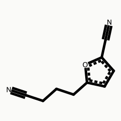 N#CCCCc1ccc(C#N)o1